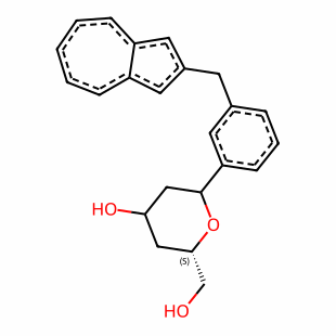 OC[C@@H]1CC(O)CC(c2cccc(Cc3cc4cccccc-4c3)c2)O1